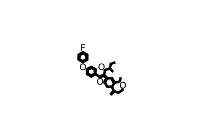 C=C1CCOC(C)C2=Cc3c(oc(-c4ccc(Oc5ccc(F)cc5)cc4)c3C(=O)C(C)CC)CC12